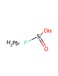 O=[Si](O)F.[PbH2]